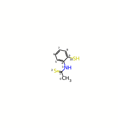 CC(=S)Nc1ccccc1S